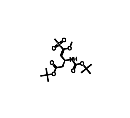 CO/C(=C\[C@H](CC(=O)OC(C)(C)C)NC(=O)OC(C)(C)C)S(C)(=O)=O